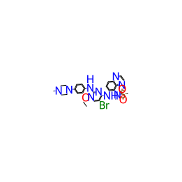 CCOc1cc(N2CCN(C)CC2)ccc1Nc1ncc(Br)c(Nc2ccc3nccnc3c2N(C)S(C)(=O)=O)n1